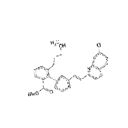 COC(=O)c1cccc(CCCO)c1-c1cccc(C=Cc2ccc3ccc(Cl)cc3n2)c1.O